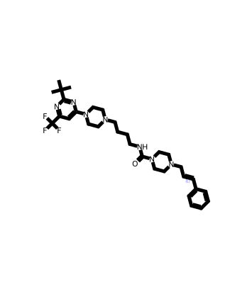 CC(C)(C)c1nc(N2CCN(CCCCNC(=O)N3CCN(C/C=C/c4ccccc4)CC3)CC2)cc(C(F)(F)F)n1